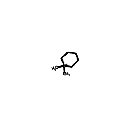 C[N+]1(C)CCCCC1